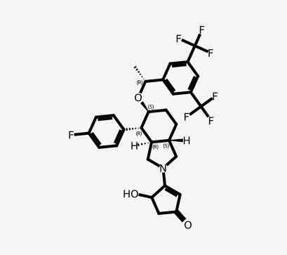 C[C@@H](O[C@H]1CC[C@@H]2CN(C3=CC(=O)CC3O)C[C@H]2[C@@H]1c1ccc(F)cc1)c1cc(C(F)(F)F)cc(C(F)(F)F)c1